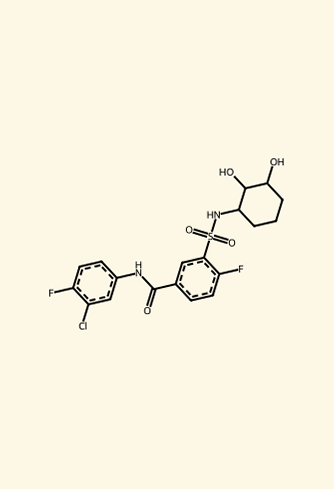 O=C(Nc1ccc(F)c(Cl)c1)c1ccc(F)c(S(=O)(=O)NC2CCCC(O)C2O)c1